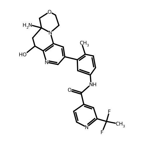 Cc1ccc(NC(=O)c2ccnc(C(C)(F)F)c2)cc1-c1cnc2c(c1)N1CCOCC1(N)CC2O